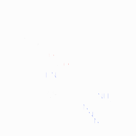 [N-]=[N+]=NC(N)CCCC(NC(=O)OCC1c2ccccc2-c2ccccc21)C(=O)O